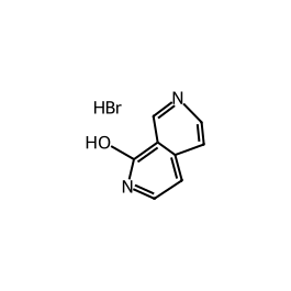 Br.Oc1nccc2ccncc12